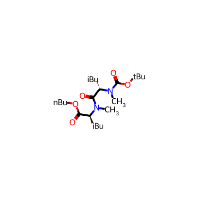 CCCCOC(=O)[C@H](C(C)CC)N(C)C(=O)[C@H](C(C)CC)N(C)C(=O)OC(C)(C)C